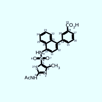 CC(=O)Nc1nc(C)c(S(=O)(=O)Nc2ccc(-c3cccc(C(=O)O)c3)c3ccccc23)s1